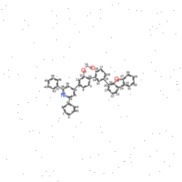 c1ccc(-c2cc(-c3ccc4c(c3)OCOc3ccc(-c5cccc6c5oc5ccccc56)cc3-4)cc(-c3ccccc3)n2)cc1